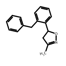 CC1=NOC(c2ccccc2Cc2ccccc2)C1